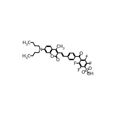 CCCCN(CCCC)c1ccc2c(C)c(/C=C/c3ccc(C(=O)c4c(F)c(F)c(S(=O)(=O)O)c(F)c4F)cc3)c(=O)oc2c1